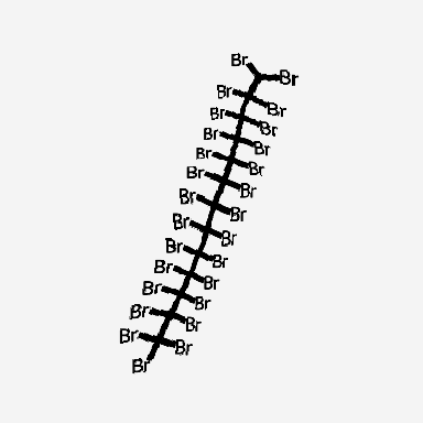 Br[C](Br)C(Br)(Br)C(Br)(Br)C(Br)(Br)C(Br)(Br)C(Br)(Br)C(Br)(Br)C(Br)(Br)C(Br)(Br)C(Br)(Br)C(Br)(Br)C(Br)(Br)C(Br)(Br)Br